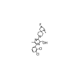 Cc1nc(N2CCC3(CC2)C[C@@H](F)C[C@H]3C)c(CO)nc1-c1cccc(Cl)c1Cl